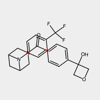 O=C(c1ccc(C2(O)COC2)cc1)N1CC2CC(C1)N2c1ccc(C(F)(F)F)cc1